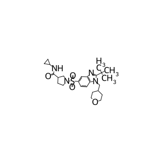 CC(C)(C)c1nc2cc(S(=O)(=O)N3CCC(C(=O)NC4CC4)C3)ccc2n1CC1CCOCC1